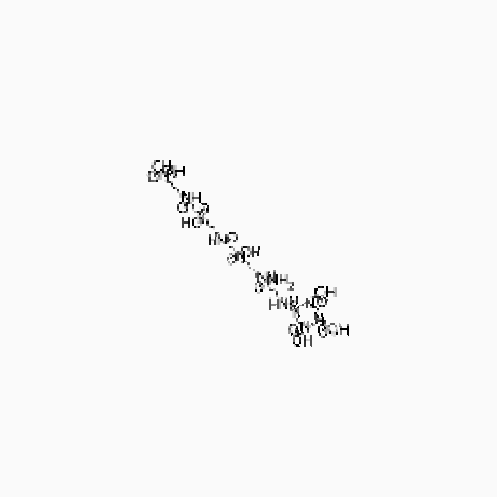 CC(=O)N(O)CCCCCNC(=O)CCC(=O)N(O)CCCCCNC(=O)CCC(=O)N(O)CCCCCNC(=O)[C@@H](N)CCCCNC(=O)CN1CCN(CC(=O)O)CCN(CC(=O)O)CCN(CC(=O)O)CC1